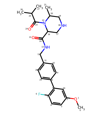 COc1ccc(F)c(-c2ccc(CNC(=O)C3CNCC(C)N3C(=O)C(C)C)cc2)c1